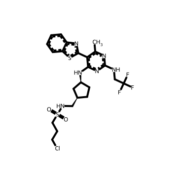 Cc1nc(NCC(F)(F)F)nc(N[C@H]2CC[C@@H](CNS(=O)(=O)CCCCl)C2)c1-c1nc2ccccc2s1